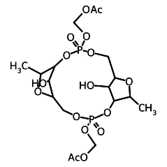 CC(=O)OCOP1(=O)OCC2OC(C)C(OP(=O)(OCOC(C)=O)OCC3OC(C)C(O1)C3O)C2O